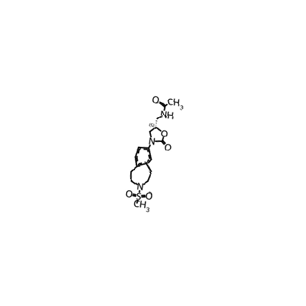 CC(=O)NC[C@H]1CN(c2ccc3c(c2)CCN(S(C)(=O)=O)CC3)C(=O)O1